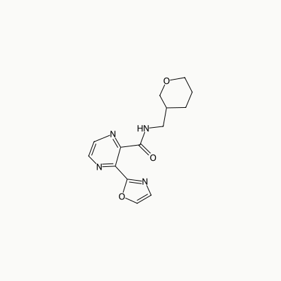 O=C(NCC1CCCOC1)c1nccnc1-c1ncco1